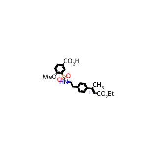 CCOC(=O)/C=C(\C)c1ccc(CCNS(=O)(=O)c2cc(C(=O)O)ccc2OC)cc1